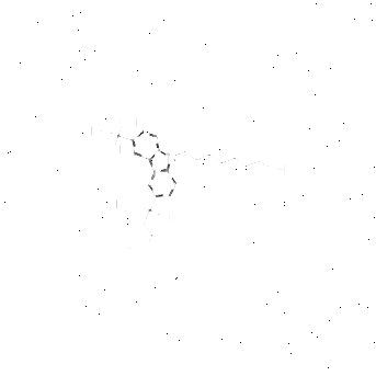 CCCCCCCCn1c2ccc(C(C)(C)C)cc2c2cc(C(C)(C)CCC)ccc21